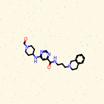 O=CN1CCC(Nc2cc(C(=O)NCCCN3CCc4ccccc4C3)ncn2)CC1